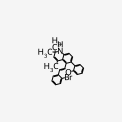 CC1=CC(C)(C)Nc2ccc3c(c21)C(=Cc1ccccc1Br)Oc1ccccc1-3